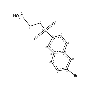 O=C(O)CCS(=O)(=O)c1ccc2cc(Br)ccc2c1